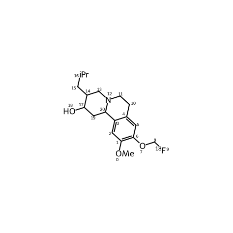 COc1cc2c(cc1OC[18F])CCN1CC(CC(C)C)C(O)CC21